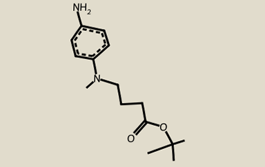 CN(CCCC(=O)OC(C)(C)C)c1ccc(N)cc1